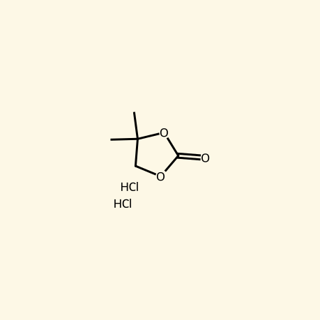 CC1(C)COC(=O)O1.Cl.Cl